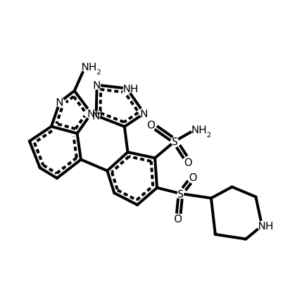 Nc1nc2cccc(-c3ccc(S(=O)(=O)C4CCNCC4)c(S(N)(=O)=O)c3-c3nn[nH]n3)c2[nH]1